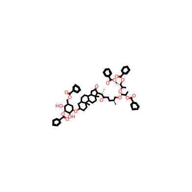 CC(OC(=O)c1ccccc1)[C@H](OC[C@@H](C)CCC(=O)[C@@H](C)C1C(=O)CC2C3CCC4CC(O[C@@H]5CC(COC(=O)c6ccccc6)[C@@H](O)C(OC(=O)c6ccccc6)C5O)CCC4(C)C3CCC21C)OC(C)[C@H](COC(=O)c1ccccc1)OC(=O)c1ccccc1